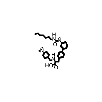 CCCCCCCNC(=O)N(C)c1cccc(-c2ccc(CC(NCc3ccc(N(C)C)cc3)C(=O)O)cc2)c1